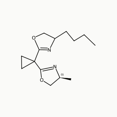 CCCCC1COC(C2(C3=N[C@@H](C)CO3)CC2)=N1